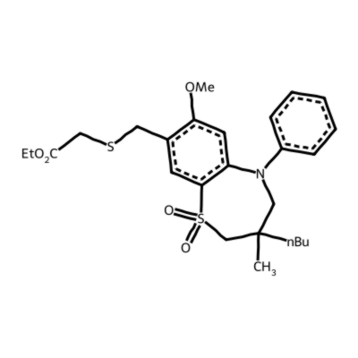 CCCCC1(C)CN(c2ccccc2)c2cc(OC)c(CSCC(=O)OCC)cc2S(=O)(=O)C1